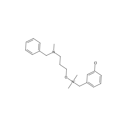 CN(CCCO[N+](C)(C)Cc1cccc(Cl)c1)Cc1ccccc1